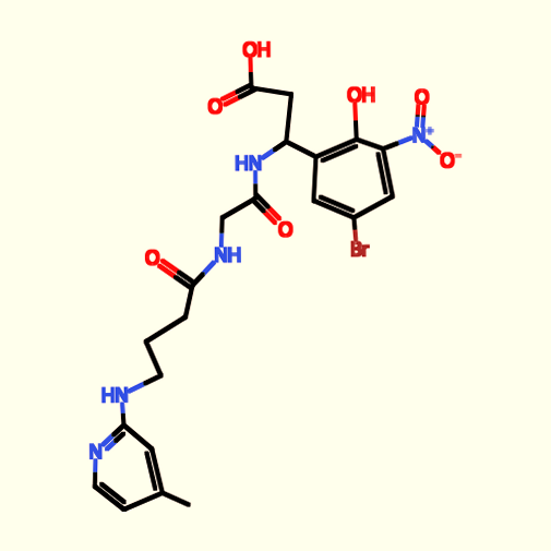 Cc1ccnc(NCCCC(=O)NCC(=O)NC(CC(=O)O)c2cc(Br)cc([N+](=O)[O-])c2O)c1